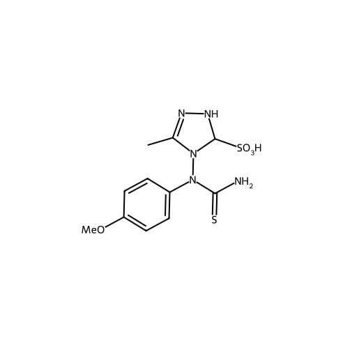 COc1ccc(N(C(N)=S)N2C(C)=NNC2S(=O)(=O)O)cc1